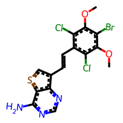 COc1c(Cl)c(/C=C/c2csc3c(N)ncnc23)c(Cl)c(OC)c1Br